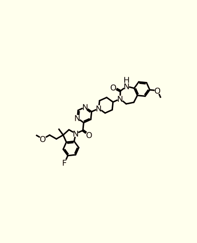 COCCC1(C)CN(C(=O)c2cc(N3CCC(N4CCc5cc(OC)ccc5NC4=O)CC3)ncn2)c2ccc(F)cc21